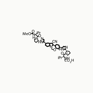 COC(=O)N[C@H](C(=O)N1CCC[C@H]1c1ncc(-c2ccc3c(c2)c(C#N)c2n3COc3cc(-c4cnc([C@@H]5CCCN5C(=O)[C@@H](NC(=O)O)C(C)C)[nH]4)ccc3-2)[nH]1)C(C)C